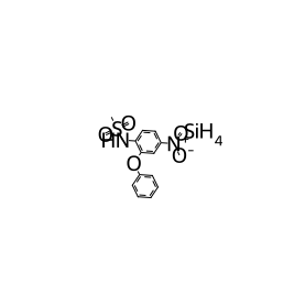 CS(=O)(=O)Nc1ccc([N+](=O)[O-])cc1Oc1ccccc1.[SiH4]